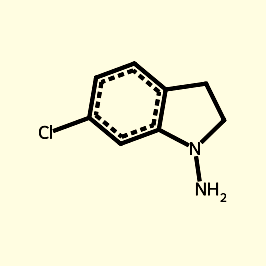 NN1CCc2ccc(Cl)cc21